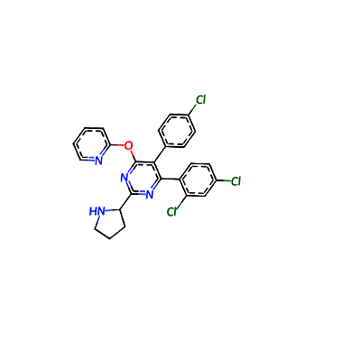 Clc1ccc(-c2c(Oc3ccccn3)nc(C3CCCN3)nc2-c2ccc(Cl)cc2Cl)cc1